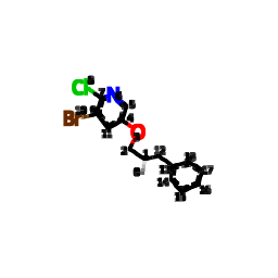 C[C@H](COc1cnc(Cl)c(Br)c1)Cc1ccccc1